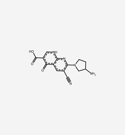 N#Cc1cc2c(=O)c(C(=O)O)c[nH]c2nc1N1CCC(N)C1